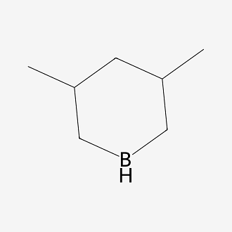 CC1CBCC(C)C1